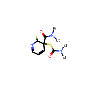 CCN(CC)C(=O)SC1(C(=O)N(CC)CC)C=CC=NC1F